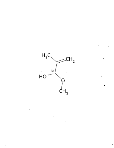 C=C(C)[C@@H](O)OC